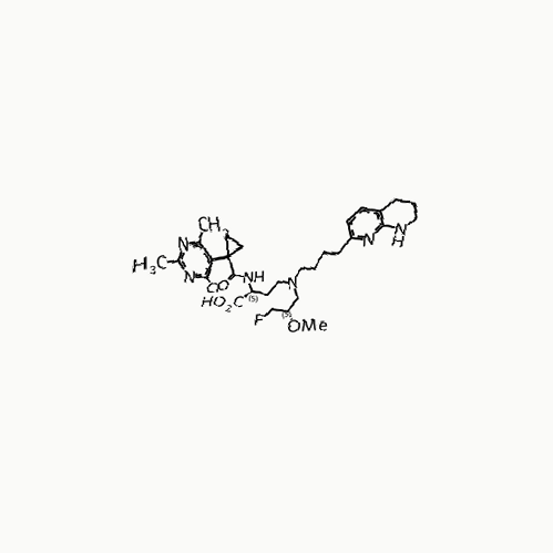 CO[C@H](CF)CN(CCCCc1ccc2c(n1)NCCC2)CC[C@H](NC(=O)C1(c2c(C)nc(C)nc2Cl)CC1)C(=O)O